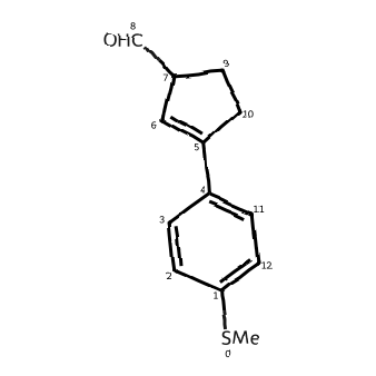 CSc1ccc(C2=CC(C=O)CC2)cc1